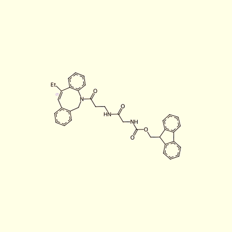 CC/C1=C/c2ccccc2CN(C(=O)CCNC(=O)CNC(=O)OCC2c3ccccc3-c3ccccc32)c2ccccc21